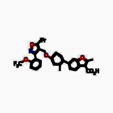 Cc1cc(OCc2c(-c3ccccc3OC(F)(F)F)noc2C(C)C)ccc1-c1ccc2c(C(=O)O)c(C)oc2c1